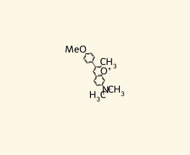 COc1ccc(-c2cc3ccc(N(C)C)cc3[o+]c2C)cc1